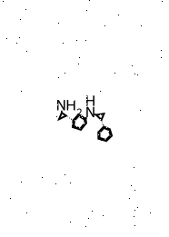 N[C@@H]1C[C@H]1c1cccc(N[C@H]2C[C@@H]2c2ccccc2)c1